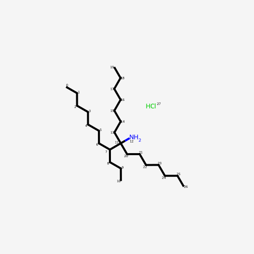 CCCCCCCC(CCC)C(N)(CCCCCCC)CCCCCCC.Cl